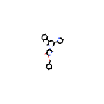 CCOc1cc(N2C=C(c3ccccn3)C=C(c3ccccc3C#N)C2C=O)cnc1OCc1ccccc1